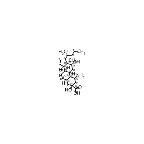 CCC[C@@H](C)[C@H]1CC[C@H]2[C@@H]3CC[C@@H]4C[C@@](O)(C(=O)O)CC(N)[C@]4(C)[C@H]3C[C@H](O)[C@]12C